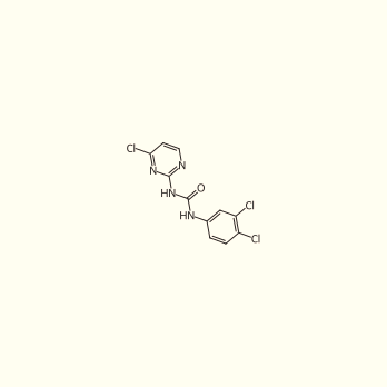 O=C(Nc1ccc(Cl)c(Cl)c1)Nc1nccc(Cl)n1